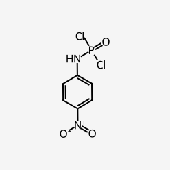 O=[N+]([O-])c1ccc(NP(=O)(Cl)Cl)cc1